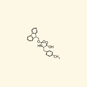 Cc1ccc(CC(NC(=O)OCC2c3ccccc3-c3ccccc32)C(=O)O)cc1